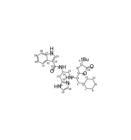 CC(C)(C)C1CC(C(CC2CCCCC2)NCC(Cc2ncc[nH]2)NC(=O)c2c[nH]c3ccccc23)OC1=O